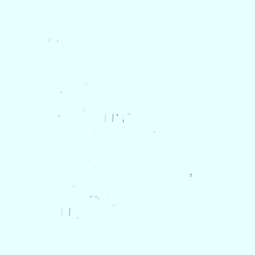 COc1ccc(C(CNCC=Cc2ccccc2)c2cccc(C=CC(=O)O)c2)cc1